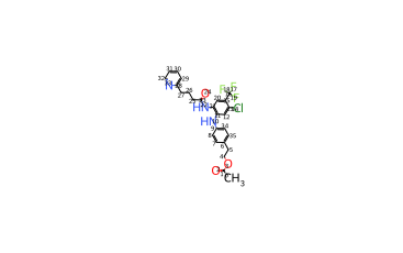 CC(=O)OCCc1ccc(Nc2cc(Cl)c(C(F)(F)F)cc2NC(=O)CCCc2ccccn2)cc1